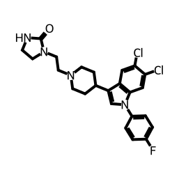 O=C1NCCN1CCN1CCC(c2cn(-c3ccc(F)cc3)c3cc(Cl)c(Cl)cc23)CC1